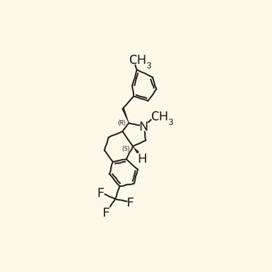 Cc1cccc(C[C@@H]2C3CCc4cc(C(F)(F)F)ccc4[C@H]3CN2C)c1